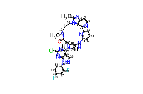 Cc1nc2ccnc3c2n1CCCN(C)C(=O)[C@@H]1C[C@@H](CN1c1nc(Cl)nc2c1cnn2-c1ccc(F)cc1F)Nc1cccc-3n1